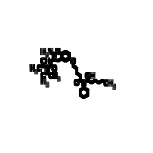 CCCCCC(O)N(C(=O)CCCCOc1ccc2c(c1)CN(CC(=O)N(C(C)C)C(C)C)C(N)=N2)C1CCCCC1